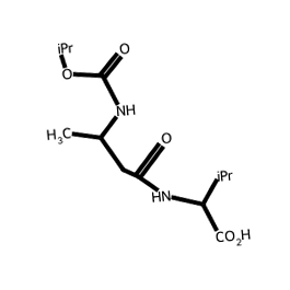 CC(CC(=O)NC(C(=O)O)C(C)C)NC(=O)OC(C)C